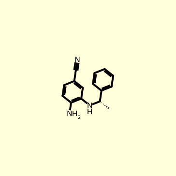 C[C@H](Nc1cc(C#N)ccc1N)c1ccccc1